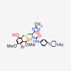 COC(=O)c1c(Br)c(OC)cc(O)c1CSCC(c1nc(C)no1)N(S)C(=O)Nc1ccc(N2CCN(C(C)=O)CC2)cc1